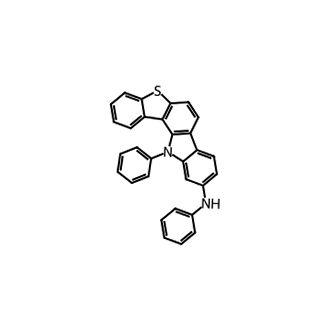 c1ccc(Nc2ccc3c4ccc5sc6ccccc6c5c4n(-c4ccccc4)c3c2)cc1